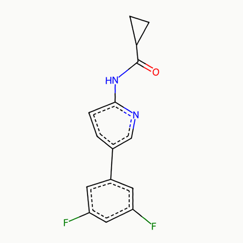 O=C(Nc1ccc(-c2cc(F)cc(F)c2)cn1)C1CC1